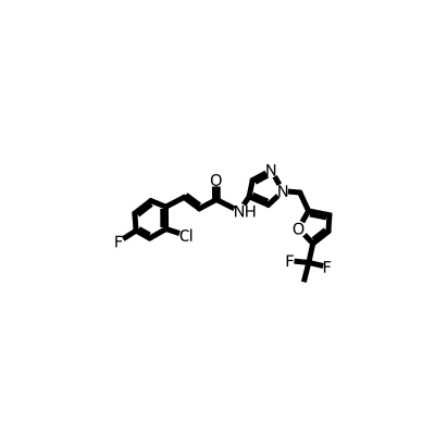 CC(F)(F)c1ccc(Cn2cc(NC(=O)/C=C/c3ccc(F)cc3Cl)cn2)o1